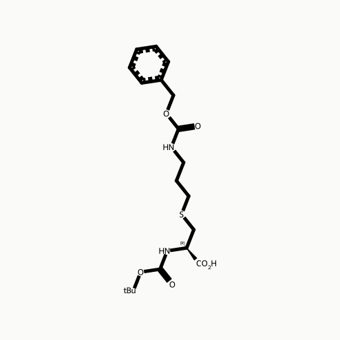 CC(C)(C)OC(=O)N[C@@H](CSCCCNC(=O)OCc1ccccc1)C(=O)O